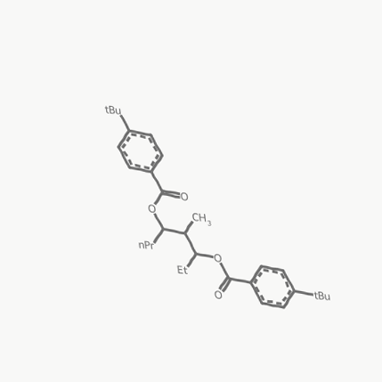 CCCC(OC(=O)c1ccc(C(C)(C)C)cc1)C(C)C(CC)OC(=O)c1ccc(C(C)(C)C)cc1